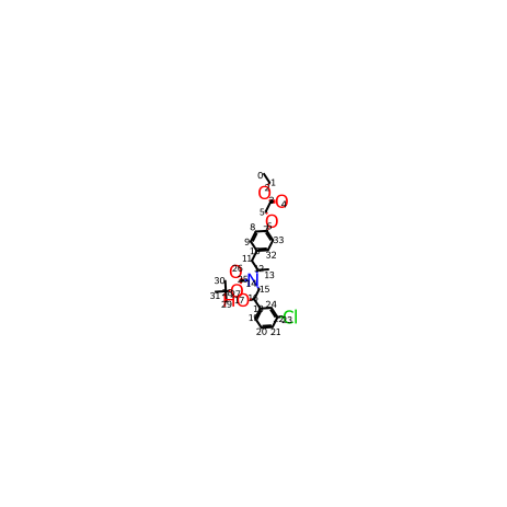 CCOC(=O)COc1ccc(CC(C)N(CC(O)c2cccc(Cl)c2)C(=O)OC(C)(C)C)cc1